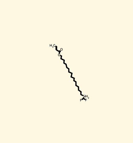 CC=CC(=O)OCCCCCCCCCCCCCCCCCC[SiH2]C(F)F